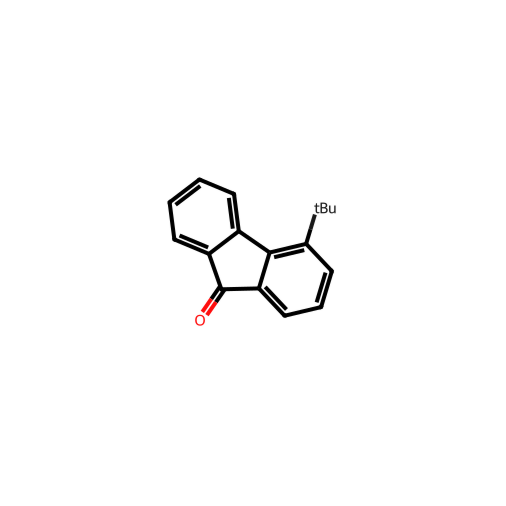 CC(C)(C)c1cccc2c1-c1ccccc1C2=O